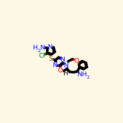 Nc1nccc(Sc2cnc3c(n2)OC[C@H]2CC[C@H](N)c4ccccc4OCCN32)c1Cl